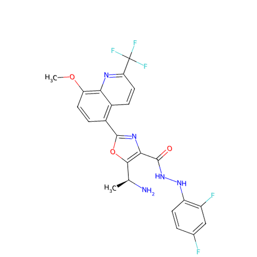 COc1ccc(-c2nc(C(=O)NNc3ccc(F)cc3F)c([C@H](C)N)o2)c2ccc(C(F)(F)F)nc12